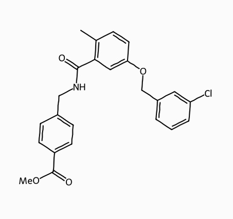 COC(=O)c1ccc(CNC(=O)c2cc(OCc3cccc(Cl)c3)ccc2C)cc1